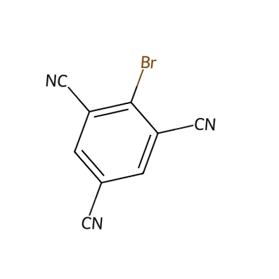 N#Cc1cc(C#N)c(Br)c(C#N)c1